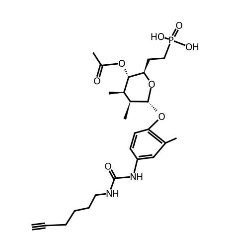 C#CCCCCNC(=O)Nc1ccc(O[C@H]2O[C@H](CCP(=O)(O)O)[C@@H](OC(C)=O)[C@H](C)[C@@H]2C)c(C)c1